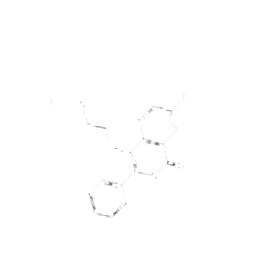 Cl.NCCOc1c(-c2ccccc2)[nH]c(=O)c2cc(F)ccc12